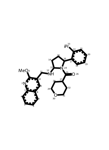 COc1nc2ccccc2cc1CNC1CCC(c2ccccc2C(C)C)N1C(=O)C1CCOCC1